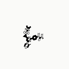 CNC(=O)Nc1ccc(-c2nc(C3CC3S(=O)(=O)c3nc(C)c(C)s3)cc(N3CCOC[C@@H]3C)n2)cc1